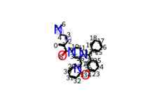 C=C(/C=C\C=N/C)C(=O)N1CCN(C(c2ccccc2)c2ccccc2)C(Cn2ccccc2=O)C1